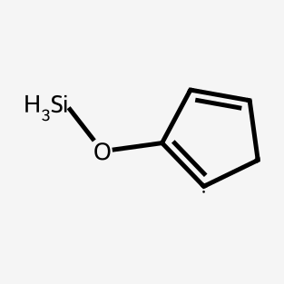 [SiH3]OC1=[C]CC=C1